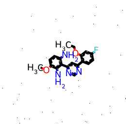 CCOc1cc(F)ccc1-c1cc(-c2c(N)ccc(OC)c2N)ncn1